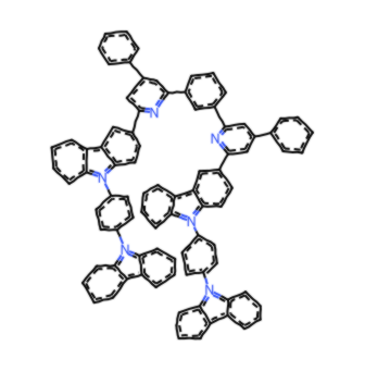 c1ccc(-c2cc(-c3cccc(-c4cc(-c5ccccc5)cc(-c5ccc6c(c5)c5ccccc5n6-c5ccc(-n6c7ccccc7c7ccccc76)cc5)n4)c3)nc(-c3ccc4c(c3)c3ccccc3n4-c3ccc(-n4c5ccccc5c5ccccc54)cc3)c2)cc1